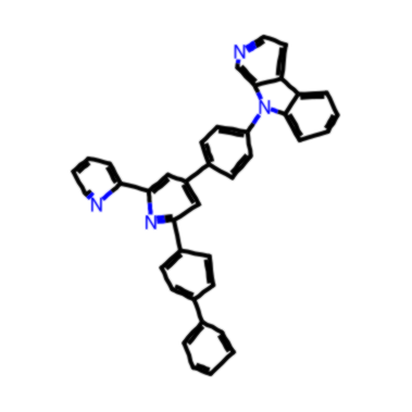 c1ccc(-c2ccc(-c3cc(-c4ccc(-n5c6ccccc6c6ccncc65)cc4)cc(-c4ccccn4)n3)cc2)cc1